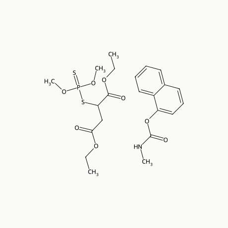 CCOC(=O)CC(SP(=S)(OC)OC)C(=O)OCC.CNC(=O)Oc1cccc2ccccc12